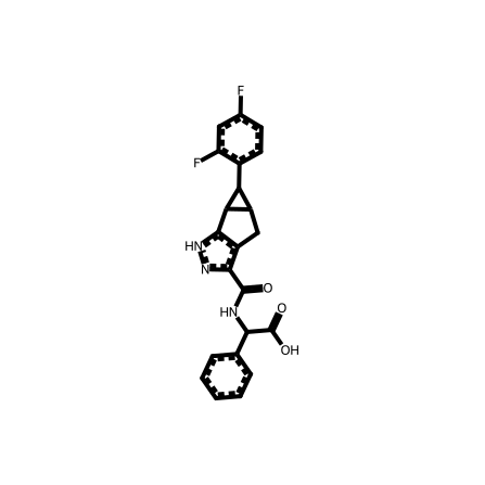 O=C(NC(C(=O)O)c1ccccc1)c1n[nH]c2c1CC1C(c3ccc(F)cc3F)C21